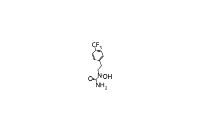 NC(=O)N(O)CCc1ccc(C(F)(F)F)cc1